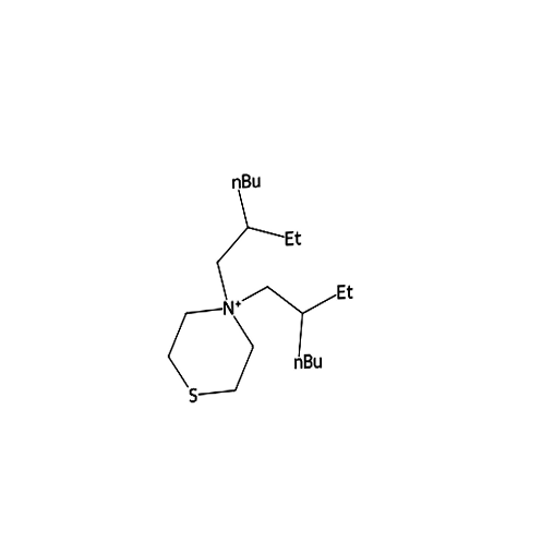 CCCCC(CC)C[N+]1(CC(CC)CCCC)CCSCC1